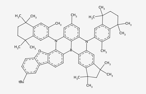 Cc1cc2c3c(c1)N(c1cc4c(cc1C)C(C)(C)CCC4(C)C)c1c(ccc4c1oc1ccc(C(C)(C)C)cc14)B3c1cc3c(cc1N2c1cc2c(cc1C)C(C)(C)CCC2(C)C)C(C)(C)CC3(C)C